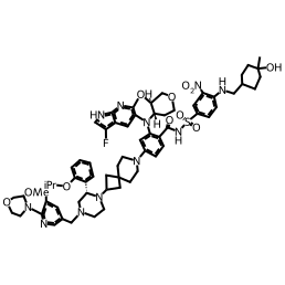 COc1cc(CN2CCN(C3CC4(CCN(c5ccc(C(=O)NS(=O)(=O)c6ccc(NCC7CCC(C)(O)CC7)c([N+](=O)[O-])c6)c(N6c7cc8c(F)c[nH]c8nc7O[C@H]7COCC[C@@H]76)c5)CC4)C3)[C@@H](c3ccccc3OC(C)C)C2)cnc1N1CCOCC1